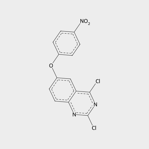 O=[N+]([O-])c1ccc(Oc2ccc3nc(Cl)nc(Cl)c3c2)cc1